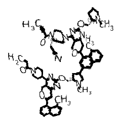 C=CC(=O)N1CCC(c2nc(OC[C@@H]3CC(c4cc(C5Cc6nc(OC[C@@H]7CCCN7C)nc(N7CCN(C(=O)C#CC)[C@@H](CC#N)C7)c6CO5)c5c(C)cccc5c4)CN3C)nc3c2COC(c2cccc4cccc(C)c24)C3)CC1